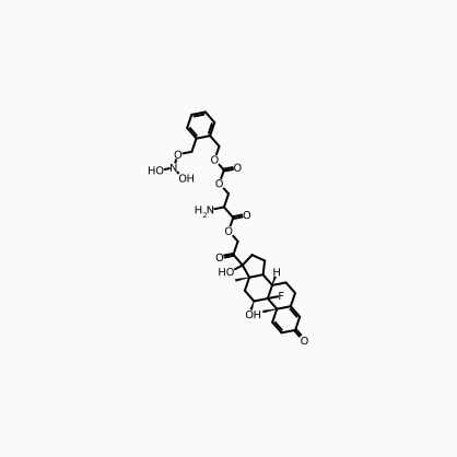 C[C@]12C=CC(=O)C=C1CC[C@H]1C3CCC(O)(C(=O)COC(=O)C(N)COC(=O)OCc4ccccc4CON(O)O)[C@@]3(C)C[C@H](O)C12F